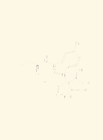 CCC(=O)Nc1cn([Si](C(C)C)(C(C)C)C(C)C)c2ccc(Br)cc12